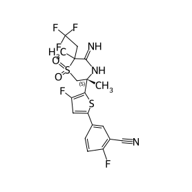 CC1(CC(F)(F)F)C(=N)N[C@](C)(c2sc(-c3ccc(F)c(C#N)c3)cc2F)CS1(=O)=O